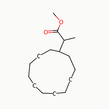 COC(=O)C(C)C1CCCCCCCCCCC1